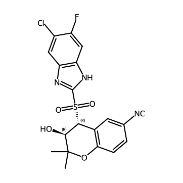 [C-]#[N+]c1ccc2c(c1)[C@@H](S(=O)(=O)c1nc3cc(Cl)c(F)cc3[nH]1)[C@H](O)C(C)(C)O2